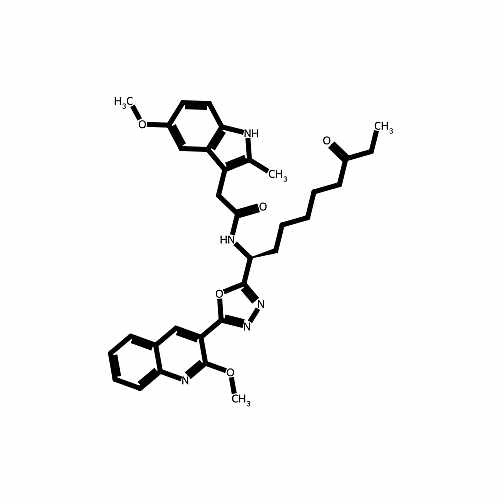 CCC(=O)CCCCC[C@H](NC(=O)Cc1c(C)[nH]c2ccc(OC)cc12)c1nnc(-c2cc3ccccc3nc2OC)o1